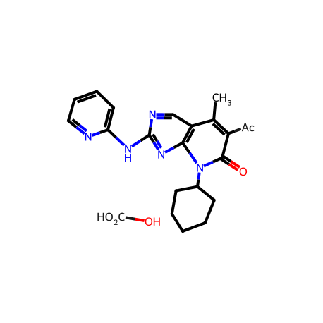 CC(=O)c1c(C)c2cnc(Nc3ccccn3)nc2n(C2CCCCC2)c1=O.O=C(O)O